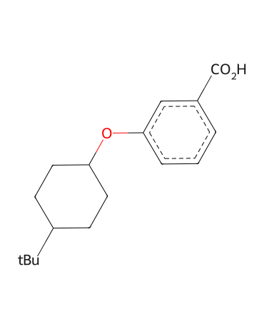 CC(C)(C)C1CCC(Oc2cccc(C(=O)O)c2)CC1